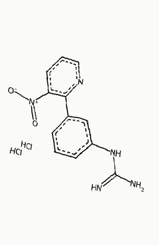 Cl.Cl.N=C(N)Nc1cccc(-c2ncccc2[N+](=O)[O-])c1